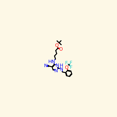 CC(C)(C)OC(=O)CCCCNc1nc(NCc2ccccc2OC(F)(F)F)ncc1C#N